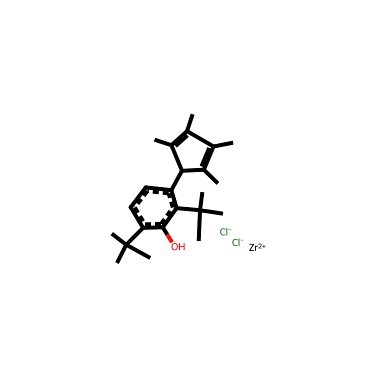 CC1=C(C)C(c2ccc(C(C)(C)C)c(O)c2C(C)(C)C)C(C)=C1C.[Cl-].[Cl-].[Zr+2]